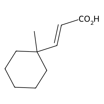 CC1(/C=C/C(=O)O)CCCCC1